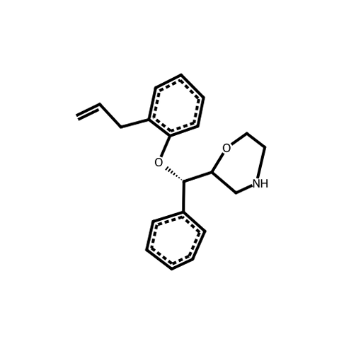 C=CCc1ccccc1O[C@@H](c1ccccc1)C1CNCCO1